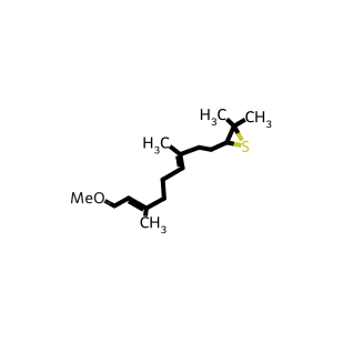 COCC=C(C)CCC=C(C)CCC1SC1(C)C